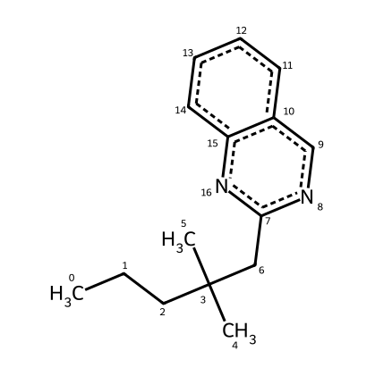 CCCC(C)(C)Cc1ncc2ccccc2n1